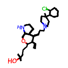 C=CC1/C(=C/CCN2CCC(C)(C3CCCCC3Cl)CC2)C2CCCNC2COC1CCCC(C)(C)O